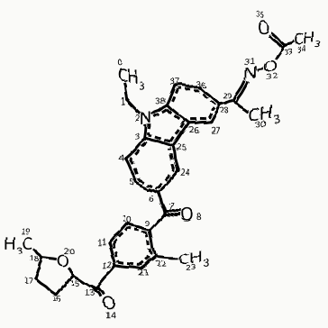 CCn1c2ccc(C(=O)c3ccc(C(=O)C4CCC(C)O4)cc3C)cc2c2cc(/C(C)=N/OC(C)=O)ccc21